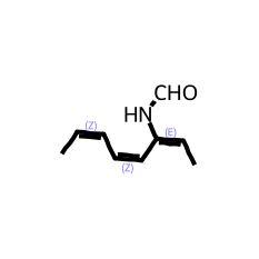 C\C=C/C=C\C(=C/C)NC=O